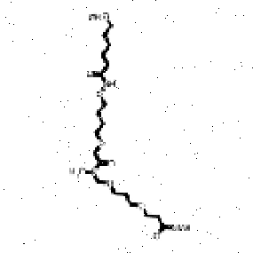 CNC(=O)CCOCCCOCN(C)C(=O)COCCCCONC(=O)CCCCCOC